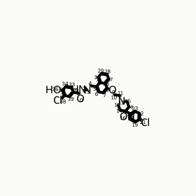 O=C(N/N=C/c1ccc(OCCN2CCC(O)(c3ccc(Cl)cc3)CC2)c2ccccc12)c1ccc(O)c(Cl)c1